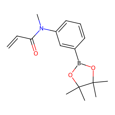 C=CC(=O)N(C)c1cccc(B2OC(C)(C)C(C)(C)O2)c1